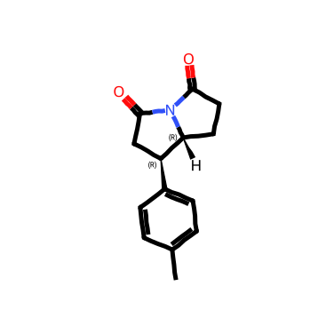 Cc1ccc([C@H]2CC(=O)N3C(=O)CC[C@H]23)cc1